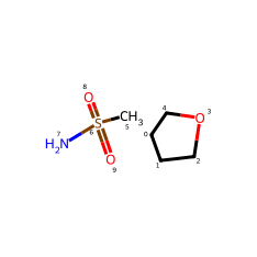 C1CCOC1.CS(N)(=O)=O